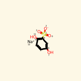 O=S(=O)([O-])c1cc(O)ccc1O.[Na+]